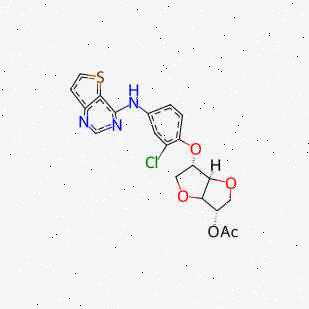 CC(=O)O[C@H]1CO[C@H]2C1OC[C@@H]2Oc1ccc(Nc2ncnc3ccsc23)cc1Cl